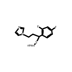 CCCCCCSC(CCn1ccnc1)c1ccc(F)cc1F